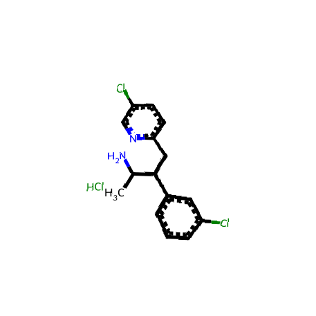 CC(N)C(Cc1ccc(Cl)cn1)c1cccc(Cl)c1.Cl